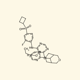 CCc1cnc(N2CC3COCC(C2)C3Oc2ncnc(Nc3ccc(S(=O)(=O)C4CCC4)cc3F)c2OC)nc1